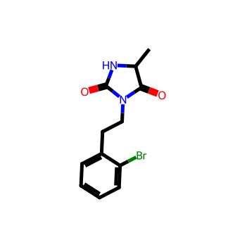 CC1NC(=O)N(CCc2ccccc2Br)C1=O